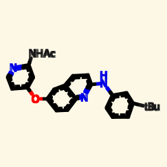 CC(=O)Nc1cc(Oc2ccc3nc(Nc4cccc(C(C)(C)C)c4)ccc3c2)ccn1